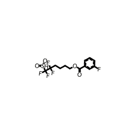 O=C(OCCCCC(F)(F)C(F)(F)[SH](=O)=O)c1cccc(F)c1